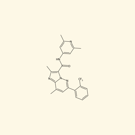 Cc1cc(NC(=O)c2c(C)nc3c(C)cc(-c4ccccc4C(F)(F)F)nn23)cc(C)n1